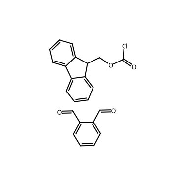 O=C(Cl)OCC1c2ccccc2-c2ccccc21.O=Cc1ccccc1C=O